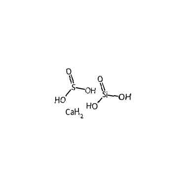 O=S(O)O.O=[Si](O)O.[CaH2]